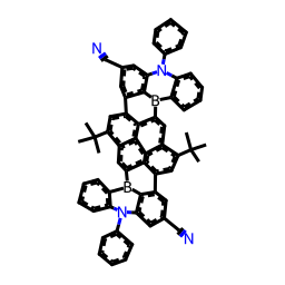 CC(C)(C)c1cc2c3c(cc4c(C(C)(C)C)cc5c6c(cc1c3c46)B1c3ccccc3N(c3ccccc3)c3cc(C#N)cc-5c31)B1c3ccccc3N(c3ccccc3)c3cc(C#N)cc-2c31